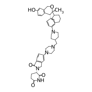 C[C@]1(C2CCCCC2)OCc2cc(O)ccc2[C@H]1c1ccc(N2CCC(CN3CCN(c4ccc5c(c4)CN([C@H]4CCC(=O)NC4=O)C5=O)CC3)CC2)cc1